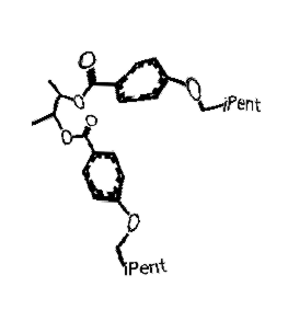 CCCC(C)COc1ccc(C(=O)OC(C)C(C)OC(=O)c2ccc(OCC(C)CCC)cc2)cc1